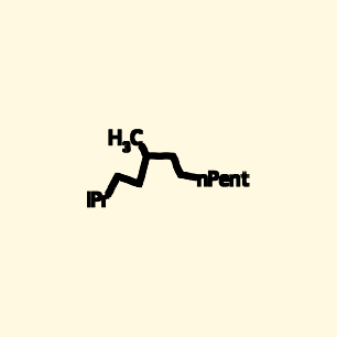 CCCCCCCC(C)CCC(C)C